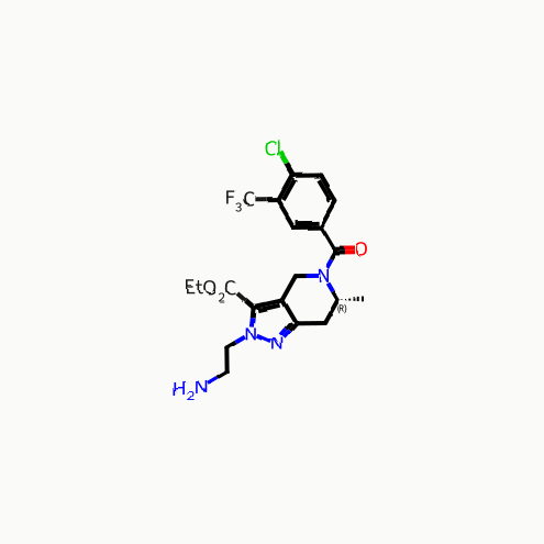 CCOC(=O)c1c2c(nn1CCN)C[C@@H](C)N(C(=O)c1ccc(Cl)c(C(F)(F)F)c1)C2